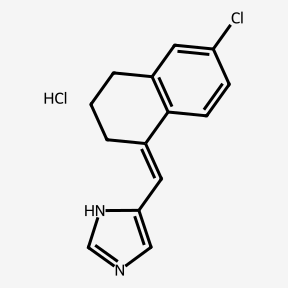 Cl.Clc1ccc2c(c1)CCCC2=Cc1cnc[nH]1